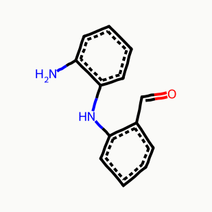 Nc1ccccc1Nc1ccccc1C=O